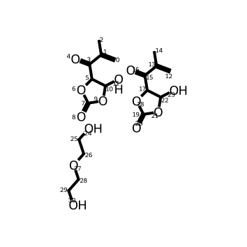 C=C(C)C(=O)C1OC(=O)OC1O.C=C(C)C(=O)C1OC(=O)OC1O.OCCOCCO